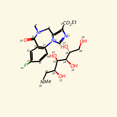 CCOC(=O)c1ncn2c1CN(C)C(=O)c1cc(F)ccc1-2.CNC[C@H](O)[C@@H](O)[C@H](O)[C@H](O)CO